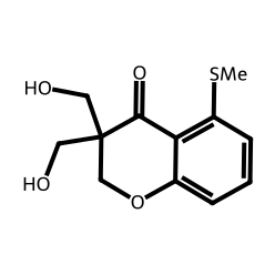 CSc1cccc2c1C(=O)C(CO)(CO)CO2